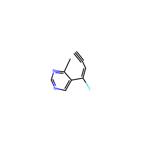 C#C/C=C(/F)c1cncnc1C